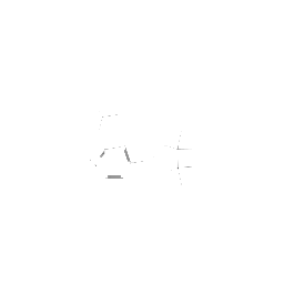 CCC(C)Oc1cc(B2OC(C)(C)C(C)(C)O2)ccn1